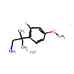 COc1ccc(C(C)(C)CN)c(F)c1.Cl